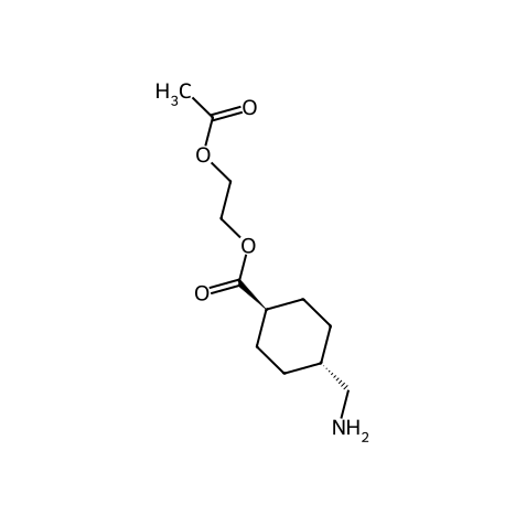 CC(=O)OCCOC(=O)[C@H]1CC[C@H](CN)CC1